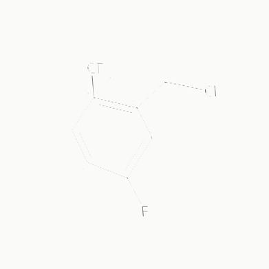 Fc1ccc(C(F)(F)F)c(CCl)c1